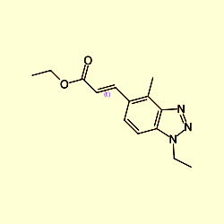 CCOC(=O)/C=C/c1ccc2c(nnn2CC)c1C